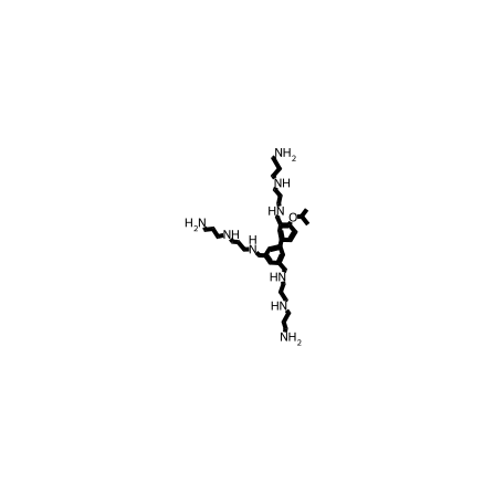 CC(C)Oc1ccc(-c2cc(CNCCCNCCCN)cc(CNCCCNCCCN)c2)cc1CNCCCNCCCN